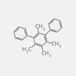 Cc1c(C)c(-c2ccccc2)c(C)c(-c2ccccc2)c1C